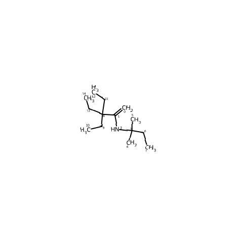 C=C(NC(C)(C)CC)C(CC)(CC)CC